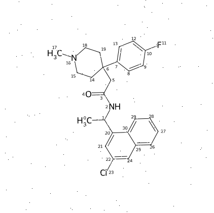 CC(NC(=O)CC1(c2ccc(F)cc2)CCN(C)CC1)c1cc(Cl)cc2ccccc12